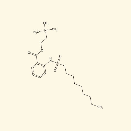 CCCCCCCCCS(=O)(=O)Nc1ccccc1C(=O)OCC[N+](C)(C)C